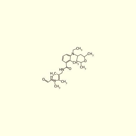 CCN(c1cccc(C(=O)NC/C(C)=C(\C)N(C)NC=O)c1C)C1CC(C)OC(C)C1